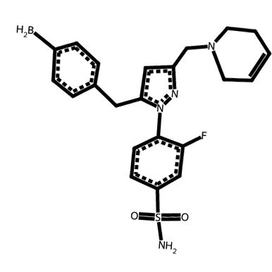 Bc1ccc(Cc2cc(CN3CC=CCC3)nn2-c2ccc(S(N)(=O)=O)cc2F)cc1